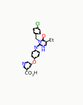 CCc1c[nH]/c(=N\c2ccc(Oc3cncc(C(=O)O)c3)cc2)n(Cc2ccc(Cl)cc2)c1=O